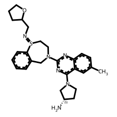 Cc1ccc2nc(N3CCS(=NCC4CCCO4)c4ccccc4C3)nc(N3CC[C@H](N)C3)c2c1